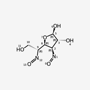 O=N[C@@H]1[C@@H](O)[C@H](O)O[C@@H]1[C@@H](CO)N=O